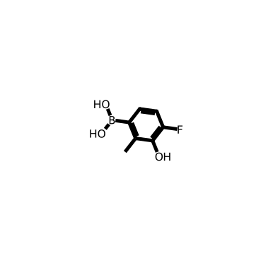 Cc1c(B(O)O)ccc(F)c1O